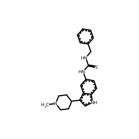 CN1CCC(c2c[nH]c3ccc(NC(=S)NCc4ccccc4)cc23)CC1